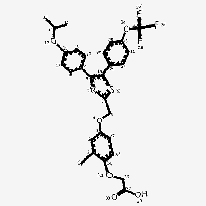 Cc1cc(OCc2nc(-c3ccc(OC(C)C)cc3)c(-c3ccc(OC(F)(F)F)cc3)s2)ccc1OCC(=O)O